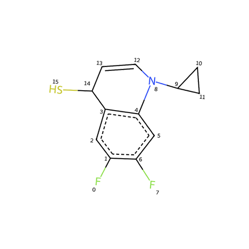 Fc1cc2c(cc1F)N(C1CC1)C=CC2S